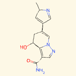 CC1C=C(C2=Cn3ncc(C(N)=O)c3C(O)C2)C=N1